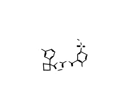 CCNS(=O)(=O)c1ccc(F)c(C(=O)Nc2nnc(C3(c4cccc(C(F)(F)F)c4)CCC3)s2)c1